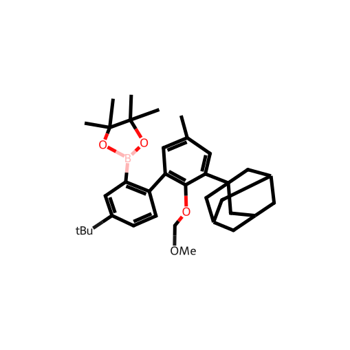 COCOc1c(-c2ccc(C(C)(C)C)cc2B2OC(C)(C)C(C)(C)O2)cc(C)cc1C12CC3CC(CC(C3)C1)C2